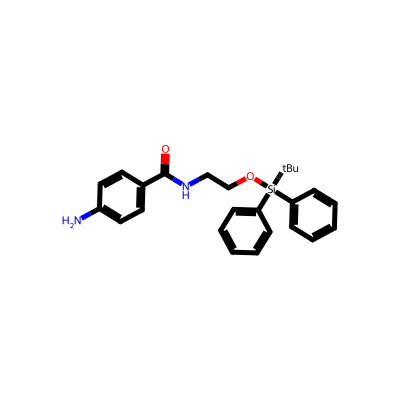 CC(C)(C)[Si](OCCNC(=O)c1ccc(N)cc1)(c1ccccc1)c1ccccc1